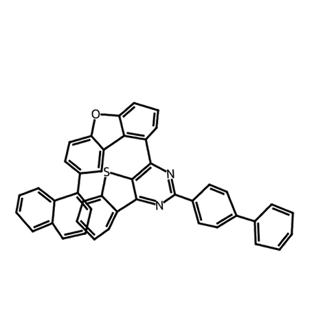 c1ccc(-c2ccc(-c3nc(-c4cccc5oc6ccc(-c7cccc8ccccc78)cc6c45)c4sc5ccccc5c4n3)cc2)cc1